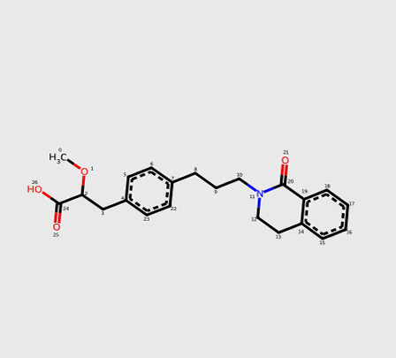 COC(Cc1ccc(CCCN2CCc3ccccc3C2=O)cc1)C(=O)O